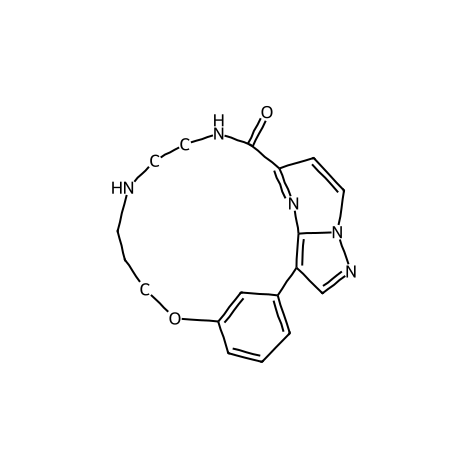 O=C1NCCNCCCOc2cccc(c2)-c2cnn3ccc1nc23